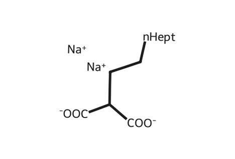 CCCCCCCCCC(C(=O)[O-])C(=O)[O-].[Na+].[Na+]